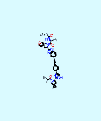 COC(=O)N[C@H](C(=O)N1C[C@@]2(CCOC2)C[C@H]1c1nc2cc(C#Cc3ccc(-c4c[nH]c([C@@H]5CC6(CC6)CN5C(=O)[C@@H](C)C(C)C)n4)cc3)ccc2[nH]1)C(C)C